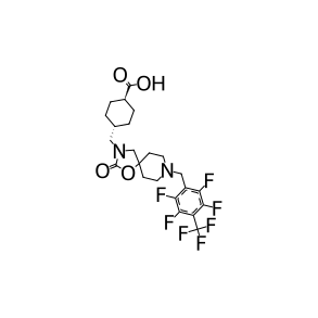 O=C1OC2(CCN(Cc3c(F)c(F)c(C(F)(F)F)c(F)c3F)CC2)CN1C[C@H]1CC[C@H](C(=O)O)CC1